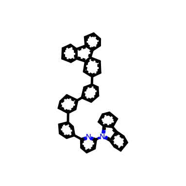 c1cc(-c2cccc(-c3ccc4c5ccccc5c5ccccc5c4c3)c2)cc(-c2cccc(-c3cccc(-n4c5ccccc5c5ccccc54)n3)c2)c1